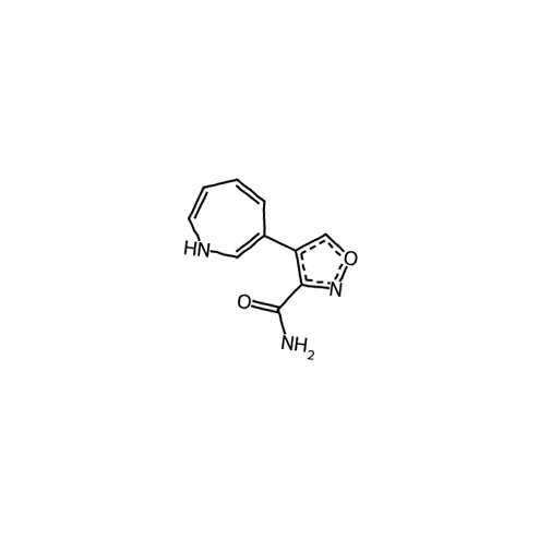 NC(=O)c1nocc1C1=CNC=CC=C1